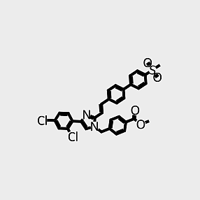 COC(=O)c1ccc(Cn2cc(-c3ccc(Cl)cc3Cl)nc2/C=C/c2ccc(-c3ccc(S(C)(=O)=O)cc3)cc2)cc1